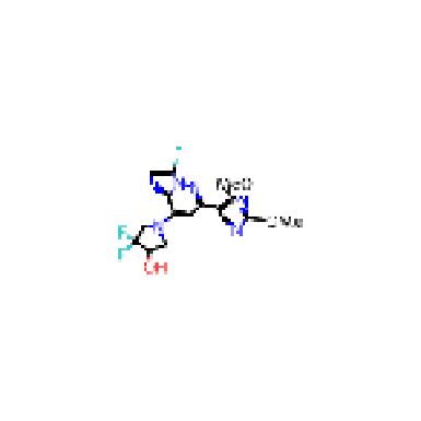 COc1ncc(-c2cc(N3CC(O)C(F)(F)C3)c3ncc(F)n3n2)c(OC)n1